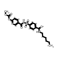 CCCCCCNC(=O)c1ccc(S(=O)(=O)NC(=O)c2ccc(OC(=O)OC)nc2)cc1